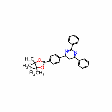 CC1(C)OB(c2ccc(C3CC(c4ccccc4)=NC(c4ccccc4)=N3)cc2)OC1(C)C